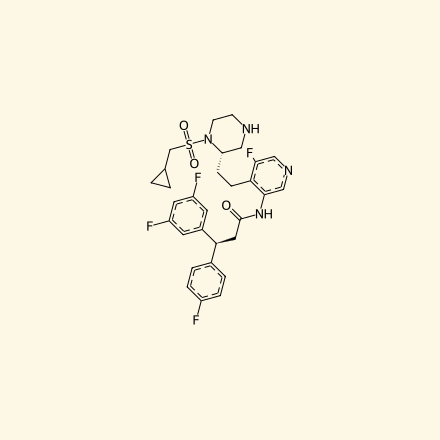 O=C(C[C@@H](c1ccc(F)cc1)c1cc(F)cc(F)c1)Nc1cncc(F)c1CC[C@H]1CNCCN1S(=O)(=O)CC1CC1